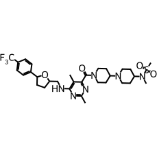 Cc1nc(NCC2CCC(c3ccc(C(F)(F)F)cc3)O2)c(C)c(C(=O)N2CCC(N3CCC(N(C)S(C)(=O)=O)CC3)CC2)n1